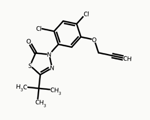 C#CCOc1cc(-n2nc(C(C)(C)C)sc2=O)c(Cl)cc1Cl